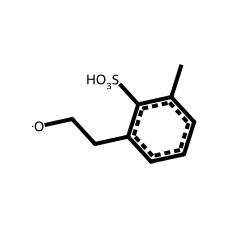 Cc1cccc(CC[O])c1S(=O)(=O)O